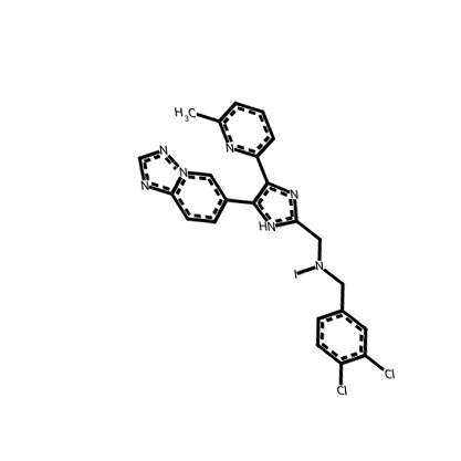 Cc1cccc(-c2nc(CN(I)Cc3ccc(Cl)c(Cl)c3)[nH]c2-c2ccc3ncnn3c2)n1